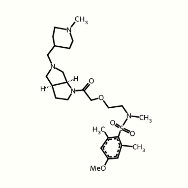 COc1cc(C)c(S(=O)(=O)N(C)CCOCC(=O)N2CC[C@H]3CN(CC4CCN(C)CC4)C[C@H]32)c(C)c1